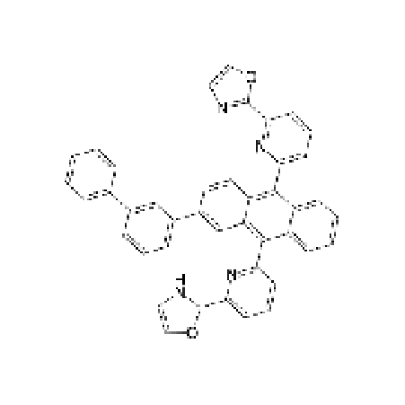 C1=COC(c2cccc(-c3c4ccccc4c(-c4cccc(-c5ncco5)n4)c4ccc(-c5cccc(-c6ccccc6)c5)cc34)n2)N1